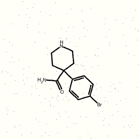 NC(=O)C1(c2ccc(Br)cc2)CCNCC1